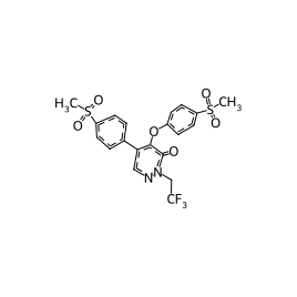 CS(=O)(=O)c1ccc(Oc2c(-c3ccc(S(C)(=O)=O)cc3)cnn(CC(F)(F)F)c2=O)cc1